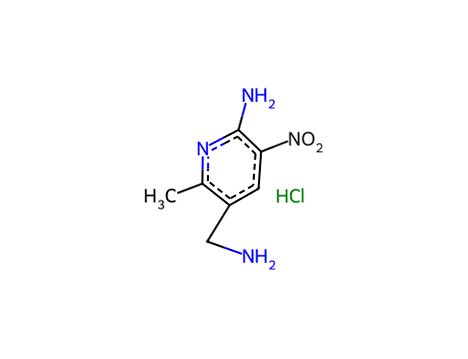 Cc1nc(N)c([N+](=O)[O-])cc1CN.Cl